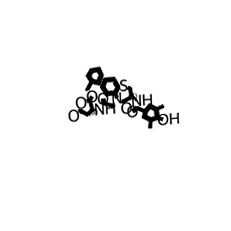 Cc1cc(C(=O)N[C@@H]2CSc3ccccc3N(CC(=O)N[C@H]3CC(=O)OC3OCc3ccccc3)C2=O)cc(C)c1O